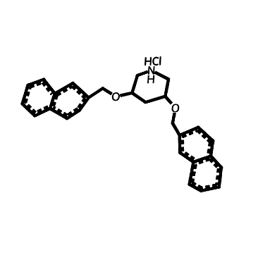 Cl.c1ccc2cc(COC3CNCC(OCc4ccc5ccccc5c4)C3)ccc2c1